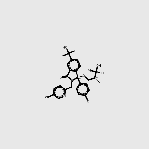 [2H]C([2H])(O)[C@H](C)CO[C@]1(c2ccc(Cl)cc2)c2ccc(C(C)(C)O)cc2C(=O)N1Cc1ccc(Cl)cn1